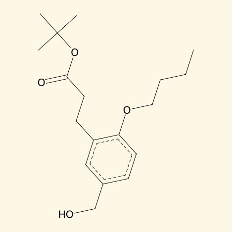 CCCCOc1ccc(CO)cc1CCC(=O)OC(C)(C)C